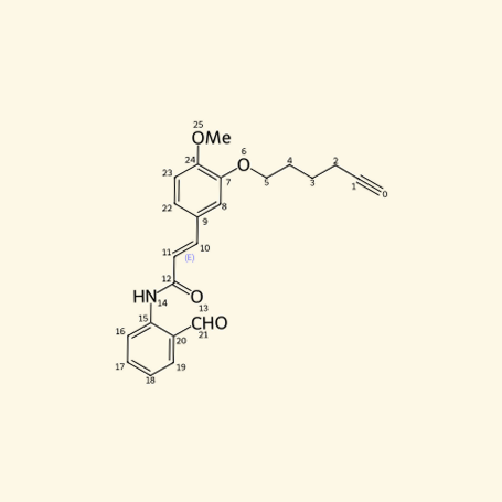 C#CCCCCOc1cc(/C=C/C(=O)Nc2ccccc2C=O)ccc1OC